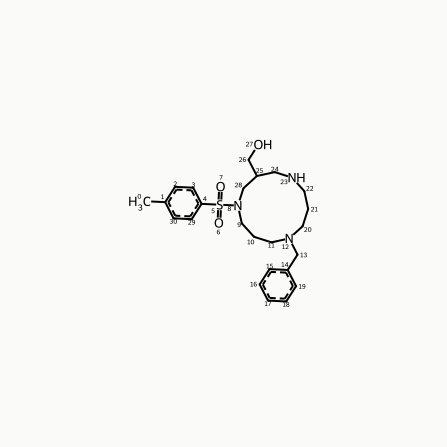 Cc1ccc(S(=O)(=O)N2CCCN(Cc3ccccc3)CCCNCC(CO)C2)cc1